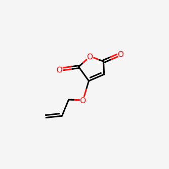 C=CCOC1=CC(=O)OC1=O